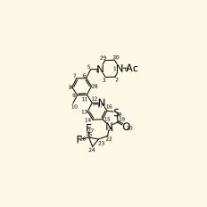 CC(=O)N1CCN(Cc2ccc(C)c(-c3ccc4c(n3)sc(=O)n4CC3CC3(F)F)c2)CC1